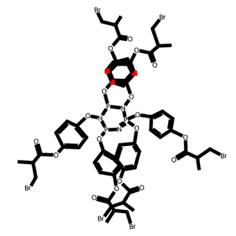 CC(CBr)C(=O)Oc1ccc(ON2P(Oc3ccc(OC(=O)C(C)CBr)cc3)N=P(Oc3ccc(OC(=O)C(C)CBr)cc3)(Oc3ccc(OC(=O)C(C)CBr)cc3)N(Oc3ccc(OC(=O)C(C)CBr)cc3)P2Oc2ccc(OC(=O)C(C)CBr)cc2)cc1